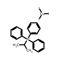 CC(C)[P+](c1ccccc1)(c1ccccc1)c1ccccc1.[I][Cu-]([I])[I]